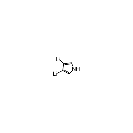 [Li][c]1c[nH]c[c]1[Li]